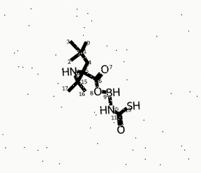 CC(C)(C)CC1(C(=O)OBNC(=O)S)NC1(C)C